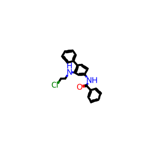 O=C(Nc1ccc(-c2ccccc2)c(NCCCl)c1)c1ccccc1